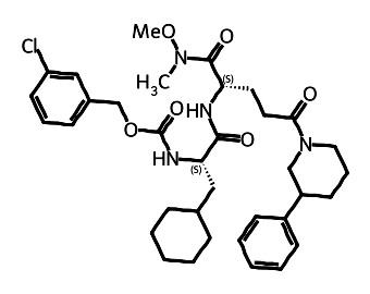 CON(C)C(=O)[C@H](CCC(=O)N1CCCC(c2ccccc2)C1)NC(=O)[C@H](CC1CCCCC1)NC(=O)OCc1cccc(Cl)c1